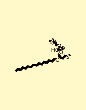 CCCCCCCCCCCCCCCCOC(CCSC)COP(=O)(O)OCC[N+](C)(C)C